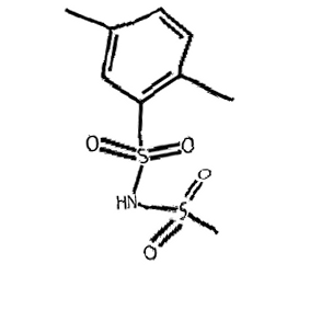 Cc1ccc(C)c(S(=O)(=O)NS(C)(=O)=O)c1